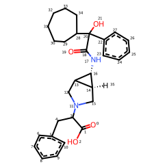 O=C(O)C(Cc1ccccc1)N1CC2[C@H](C1)[C@H]2NC(=O)C(O)(c1ccccc1)C1CCCCCC1